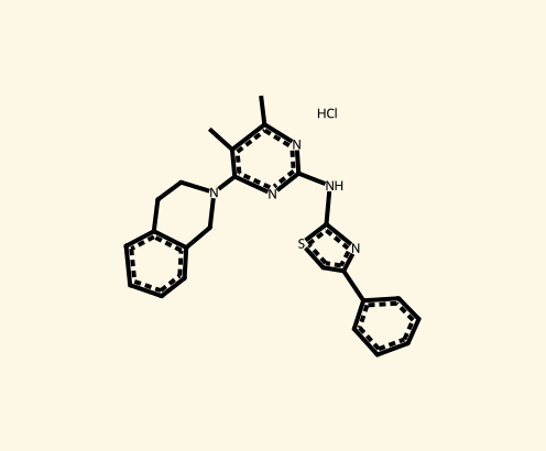 Cc1nc(Nc2nc(-c3ccccc3)cs2)nc(N2CCc3ccccc3C2)c1C.Cl